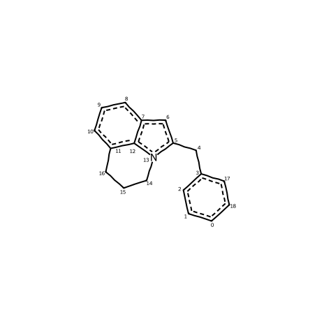 c1ccc(Cc2cc3cccc4c3n2CCC4)cc1